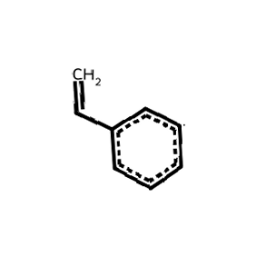 C=Cc1c[c]ccc1